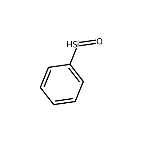 O=[SiH]c1ccccc1